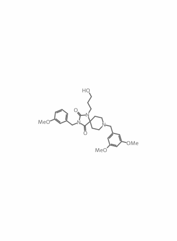 COc1cccc(CN2C(=O)N(CCCO)C3(CCN(Cc4cc(OC)cc(OC)c4)CC3)C2=O)c1